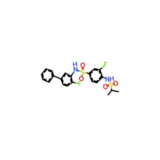 CC(C)S(=O)(=O)Nc1ccc(S(=O)(=O)Nc2cc(-c3ccccc3)ccc2F)cc1F